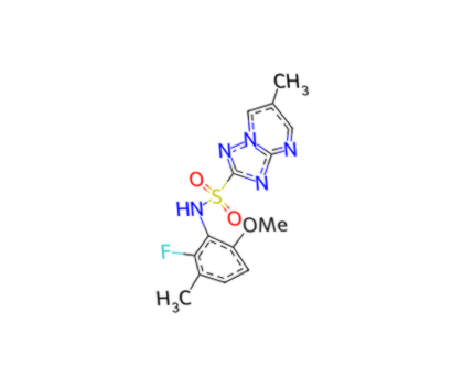 COc1ccc(C)c(F)c1NS(=O)(=O)c1nc2ncc(C)cn2n1